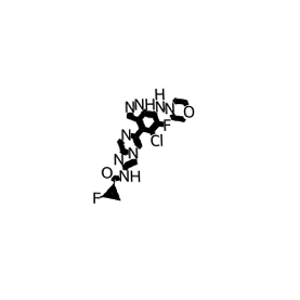 O=C(Nc1cn2cc(-c3c(Cl)c(F)c(NN4CCOCC4)c4[nH]ncc34)ncc2n1)[C@@H]1C[C@@H]1F